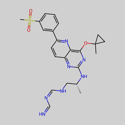 C[C@H](CN/C=N\C=N)Nc1nc(OC2(C)CC2)c2nc(-c3cccc(S(C)(=O)=O)c3)ccc2n1